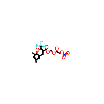 Cc1cc(C)c2c(c1)C=C(C(=O)OCOC(=O)CO[N+](=O)[O-])C(C(F)(F)F)O2